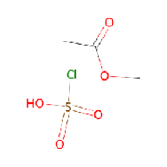 COC(C)=O.O=S(=O)(O)Cl